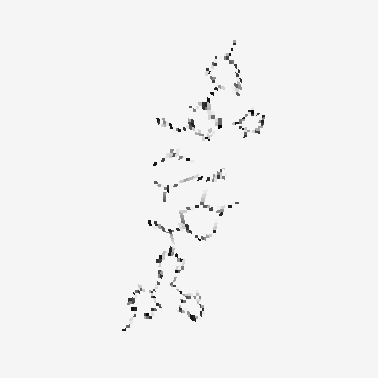 Cc1ccc(-c2cc(C(=O)N3CCN(C)C(C(=O)C4CN(C(=O)c5cc(-c6ccc(C)cn6)n(-c6nccs6)n5)CCN4C)C3)nn2-c2nccs2)nc1